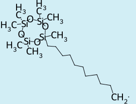 [CH2]CCCCCCCCCC[Si]1(C)O[Si](C)(C)O[Si](C)(C)O[Si](C)(C)O1